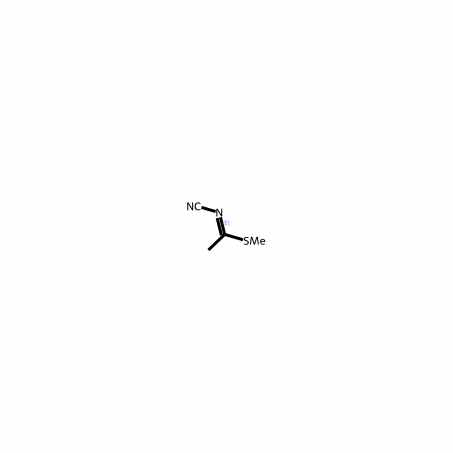 CS/C(C)=N/C#N